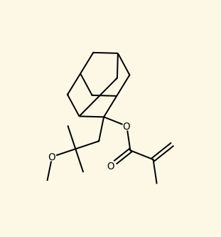 C=C(C)C(=O)OC1(CC(C)(C)OC)C2CC3CC(C2)CC1C3